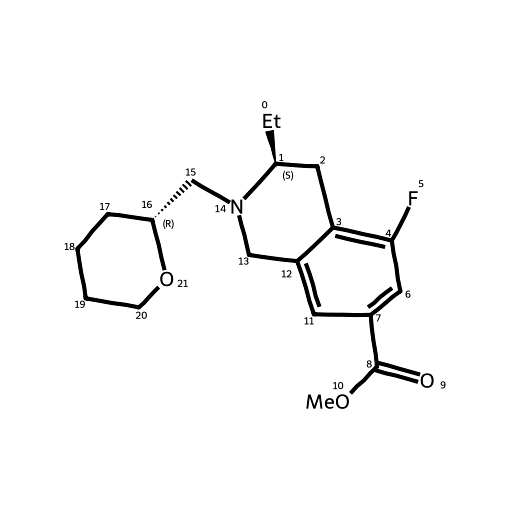 CC[C@H]1Cc2c(F)cc(C(=O)OC)cc2CN1C[C@H]1CCCCO1